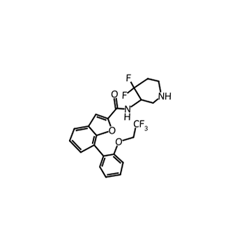 O=C(NC1CNCCC1(F)F)c1cc2cccc(-c3ccccc3OCC(F)(F)F)c2o1